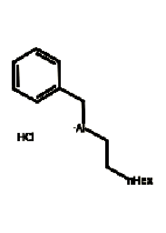 CCCCCCC[CH2][Al][CH2]c1ccccc1.Cl